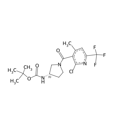 Cc1cc(C(F)(F)F)nc(Cl)c1C(=O)N1CC[C@H](NC(=O)OC(C)(C)C)C1